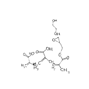 C=C(C)C(=O)O.C=C(C)C(=O)O.C=C(C)C(=O)OCC1CO1.OCCO